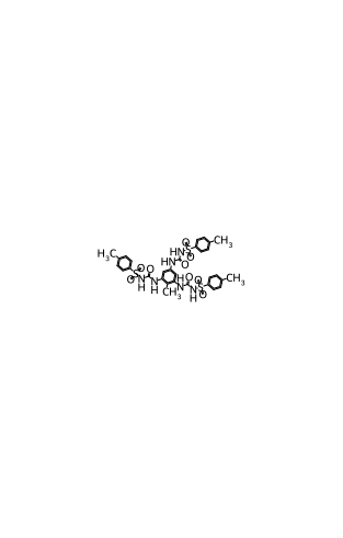 Cc1ccc(S(=O)(=O)NC(=O)Nc2cc(NC(=O)NS(=O)(=O)c3ccc(C)cc3)c(C)c(NC(=O)NS(=O)(=O)c3ccc(C)cc3)c2)cc1